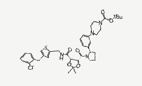 CC(C)(C)OC(=O)N1CCN(c2cccc([C@H]3CCCN3C(=O)[C@@H]3OC(C)(C)O[C@H]3C(=O)NCc3cc(Cc4ccccc4Cl)cs3)c2)CC1